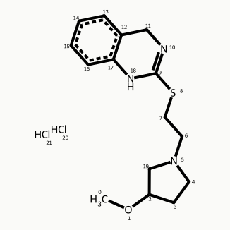 COC1CCN(CCSC2=NCc3ccccc3N2)C1.Cl.Cl